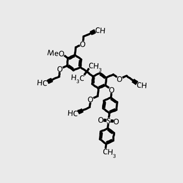 C#CCOCc1cc(C(C)(C)c2cc(COCC#C)c(OC)c(OCC#C)c2)cc(COCC#C)c1Oc1ccc(S(=O)(=O)c2ccc(C)cc2)cc1